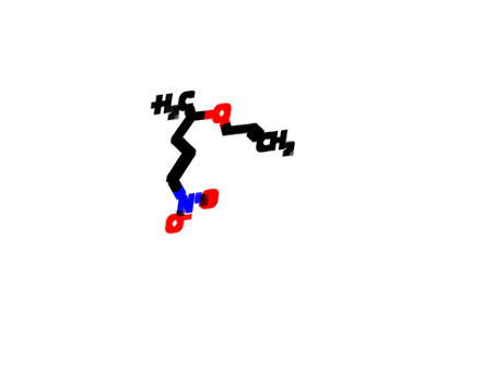 [CH2]C(CC=C[N+](=O)[O-])OCC=C